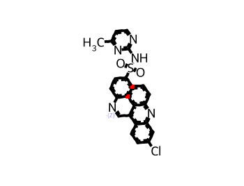 Cc1ccnc(NS(=O)(=O)c2ccc(/N=C\c3c4ccccc4nc4cc(Cl)ccc34)cc2)n1